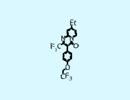 CCc1ccn2c(=O)c(-c3ccc(OCC(F)(F)F)cc3)c(C(F)(F)F)nc2c1